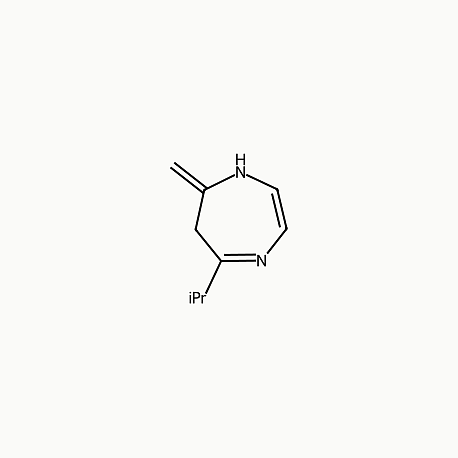 C=C1CC(C(C)C)=NC=CN1